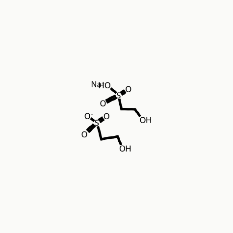 O=S(=O)(O)CCO.O=S(=O)([O-])CCO.[Na+]